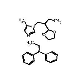 CCB(c1ccccc1)c1ccccc1.CCC(Cn1cncc1C)C1OCCO1